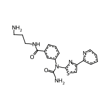 NCCCNC(=O)c1cccc(N(C(N)=O)c2nc(-c3ccccn3)cs2)c1